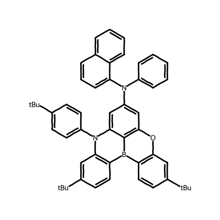 CC(C)(C)c1ccc(N2c3cc(C(C)(C)C)ccc3B3c4ccc(C(C)(C)C)cc4Oc4cc(N(c5ccccc5)c5cccc6ccccc56)cc2c43)cc1